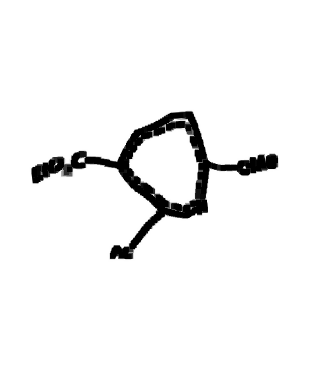 CCOC(=O)c1ccc(OC)nc1C(C)=O